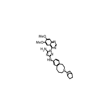 COc1cc2ncnc(-n3nc(Nc4ccc5c(c4)CCCN(C4CC6CCC4C6)CC5)nc3N)c2cc1OC